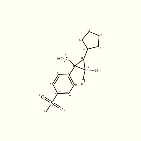 CS(=O)(=O)c1ccc(C2(C(=O)O)C(C3CCCC3)C2(Cl)Cl)cc1